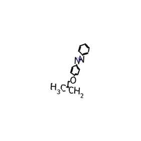 C=C(C)COc1ccc(/N=N/c2ccccc2)cc1